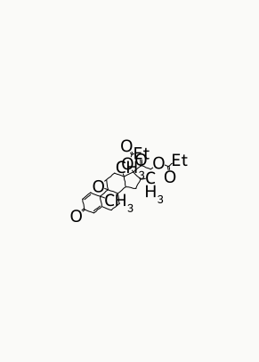 CCC(=O)OCC(=O)C1(OC(=O)CC)C(C)CC2C3CCC4=CC(=O)C=CC4(C)C34OC4CC21C